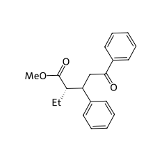 CC[C@H](C(=O)OC)C(CC(=O)c1ccccc1)c1ccccc1